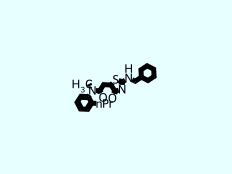 CCCc1ccccc1N(C)C(=O)CC1SC(NCC2CCCCC2)=NC1=O